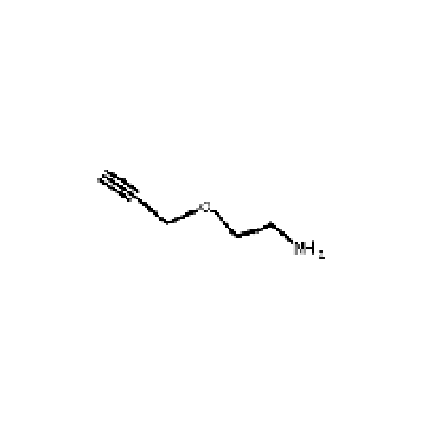 C#CCOCCN